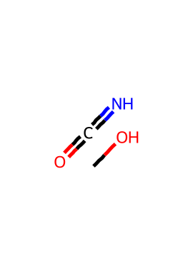 CO.N=C=O